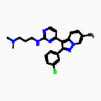 CN(C)CCCNc1nccc(-c2c(-c3cccc(Cl)c3)nn3cc(C(F)(F)F)ccc23)n1